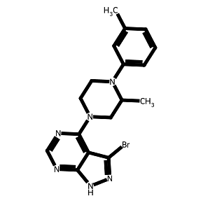 Cc1cccc(N2CCN(c3ncnc4[nH]nc(Br)c34)CC2C)c1